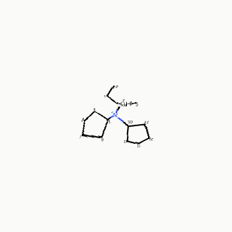 CC[SiH](C)N(C1CCCC1)C1CCCC1